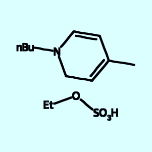 CCCCN1C=CC(C)=CC1.CCOS(=O)(=O)O